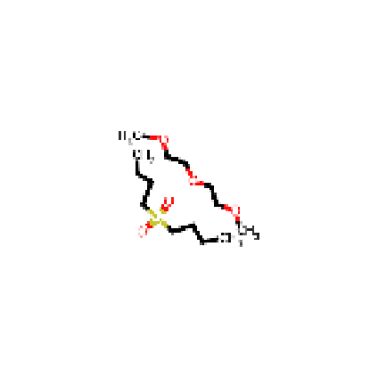 CCCCS(=O)(=O)CCCC.COCCOCCOC